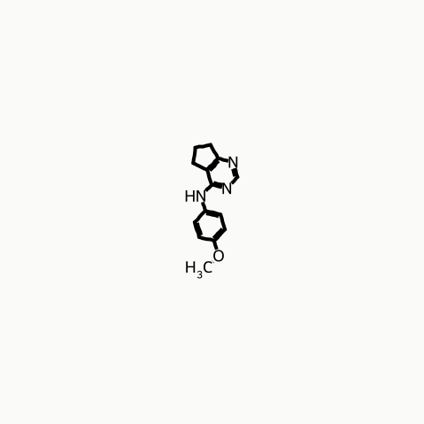 COc1ccc(Nc2ncnc3c2CCC3)cc1